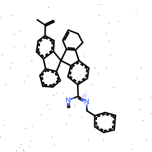 C=N/C(=N\Cc1ccccc1)c1ccc2c(c1)C1(C3=C2CCC=C3)c2ccccc2-c2ccc(C(=C)C)cc21